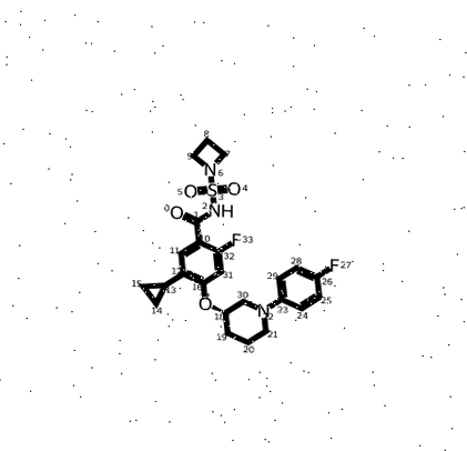 O=C(NS(=O)(=O)N1CCC1)c1cc(C2CC2)c(O[C@@H]2CCCN(c3ccc(F)cc3)C2)cc1F